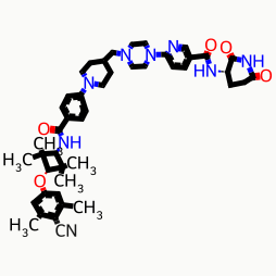 Cc1cc(O[C@H]2C(C)(C)[C@H](NC(=O)c3ccc(N4CCC(CN5CCN(c6ccc(C(=O)N[C@H]7CCC(=O)NC7=O)cn6)CC5)CC4)cc3)C2(C)C)cc(C)c1C#N